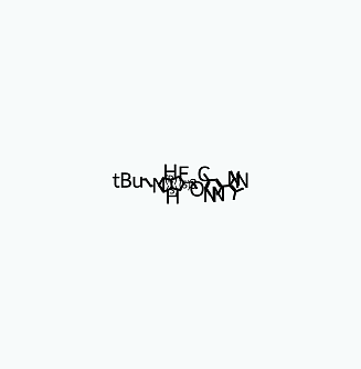 Cc1cnn(C)c1-c1cc(C(F)(F)F)c(OC[C@H]2C[C@@H]3CN(CCC(C)(C)C)C[C@@H]3C2)nn1